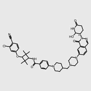 CC1(C)C(NC(=O)c2ccc(N3CCC(CN4CCN(c5ccc6cnn([C@@H]7CCC(=O)NC7O)c(=O)c6c5)CC4)CC3)cc2)C(C)(C)C1Oc1ccc(C#N)c(Cl)c1